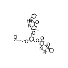 COc1cc2c(cc1OCc1cc(COc3cc4c(cc3C)C(=O)N3c5ccccc5C[C@H]3C=N4)cc(OCCCCC(C)=O)c1)N=C[C@@H]1Cc3ccccc3N1C2=O